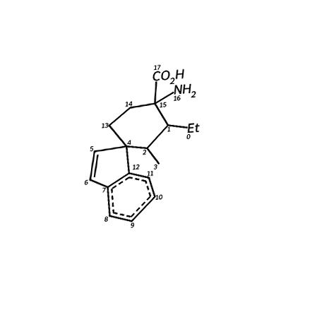 CCC1C(C)C2(C=Cc3ccccc32)CCC1(N)C(=O)O